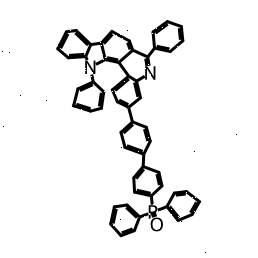 O=P(c1ccccc1)(c1ccccc1)c1ccc(-c2ccc(-c3ccc4c(c3)nc(-c3ccccc3)c3ccc5c6ccccc6n(-c6ccccc6)c5c34)cc2)cc1